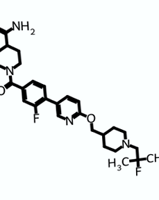 CC(C)(F)CN1CCC(COc2ccc(-c3ccc(C(=O)N4CCC(C(N)=O)CC4)cc3F)cn2)CC1